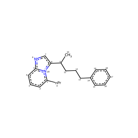 CCCc1cccc2ncc(C(C)CCCc3ccccc3)n12